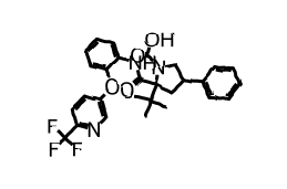 CC(C)(C)C1(C(=O)Nc2ccccc2Oc2ccc(C(F)(F)F)nc2)CC(c2ccccc2)CN1C(=O)O